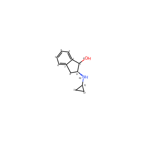 OC1c2ccccc2C[C@@H]1NC1CC1